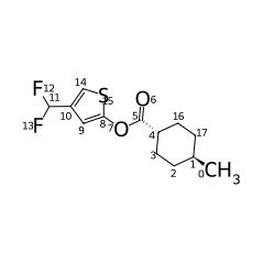 C[C@H]1CC[C@H](C(=O)Oc2cc(C(F)F)cs2)CC1